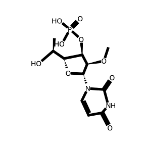 CO[C@@H]1[C@H](OP(=O)(O)O)[C@@H]([C@H](C)O)O[C@H]1n1ccc(=O)[nH]c1=O